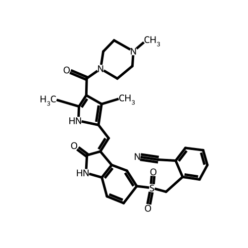 Cc1[nH]c(/C=C2\C(=O)Nc3ccc(S(=O)(=O)Cc4ccccc4C#N)cc32)c(C)c1C(=O)N1CCN(C)CC1